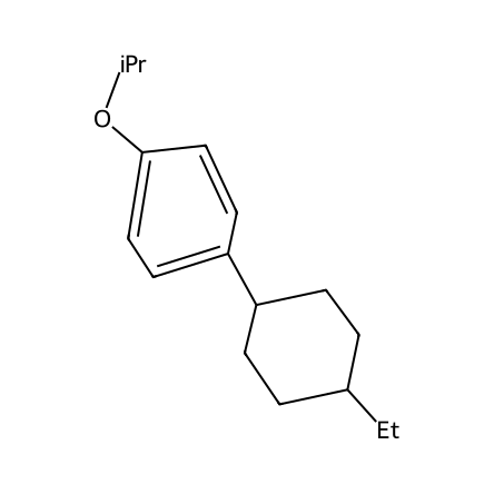 CCC1CCC(c2ccc(OC(C)C)cc2)CC1